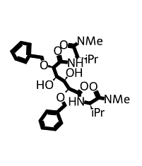 CNC(=O)[C@@H](NC(=O)[C@H](OCc1ccccc1)[C@@H](O)[C@H](O)[C@@H](OCc1ccccc1)C(=O)N[C@H](C(=O)NC)C(C)C)C(C)C